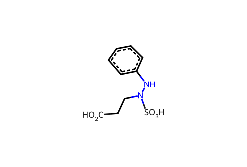 O=C(O)CCN(Nc1ccccc1)S(=O)(=O)O